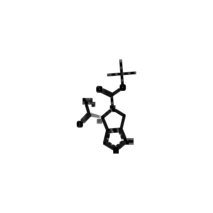 CC(C)(C)OC(=O)N1Cc2[nH]ncc2[C@@H]1C(N)=O